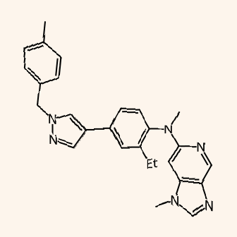 CCc1cc(-c2cnn(Cc3ccc(C)cc3)c2)ccc1N(C)c1cc2c(cn1)ncn2C